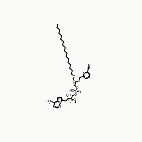 CCCCCCCCCCCCCCCCCCOC[C@H](COP(=O)(O)OC[C@@](C)(OC)[C@@H](O)Cc1ccc2c(N)ncnn12)OCc1cccc(C#N)n1